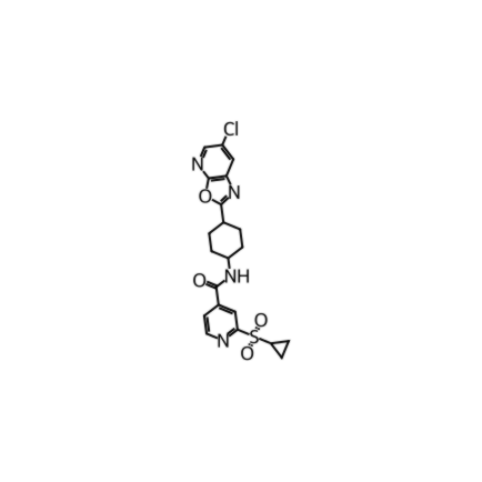 O=C(NC1CCC(c2nc3cc(Cl)cnc3o2)CC1)c1ccnc(S(=O)(=O)C2CC2)c1